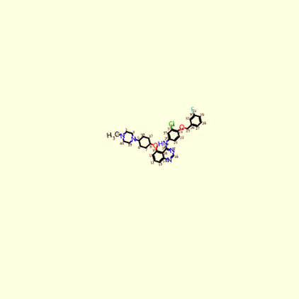 CN1CCN(C2CCC(Oc3cccc4ncnc(Nc5ccc(OCc6cccc(F)c6)c(Cl)c5)c34)CC2)CC1